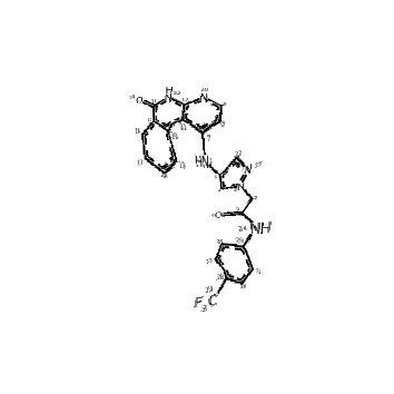 O=C(Cn1cc(Nc2ccnc3[nH]c(=O)c4ccccc4c23)cn1)Nc1ccc(C(F)(F)F)cc1